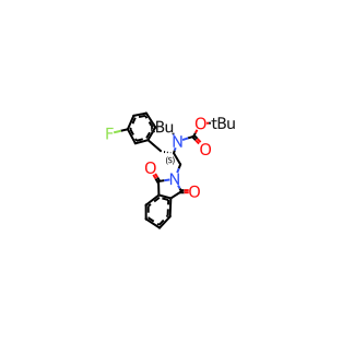 CC(C)(C)OC(=O)N([C@@H](Cc1cccc(F)c1)CN1C(=O)c2ccccc2C1=O)C(C)(C)C